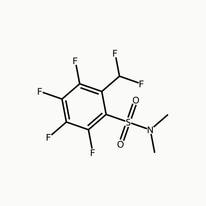 CN(C)S(=O)(=O)c1c(F)c(F)c(F)c(F)c1C(F)F